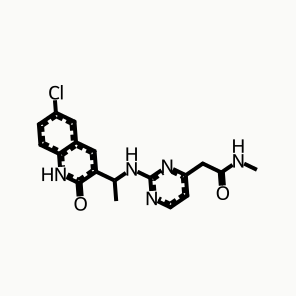 CNC(=O)Cc1ccnc(NC(C)c2cc3cc(Cl)ccc3[nH]c2=O)n1